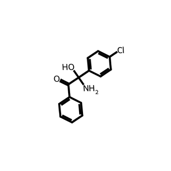 NC(O)(C(=O)c1ccccc1)c1ccc(Cl)cc1